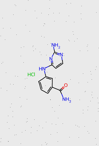 Cl.NC(=O)c1cccc(Nc2ccnc(N)n2)c1